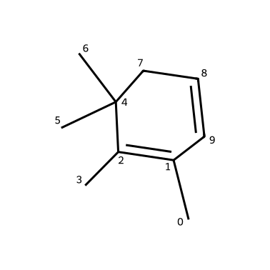 CC1=C(C)C(C)(C)CC=C1